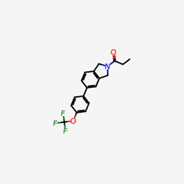 CCC(=O)N1Cc2ccc(-c3ccc(OC(F)(F)F)cc3)cc2C1